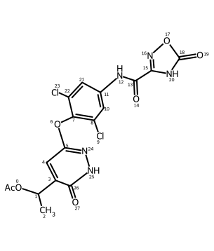 CC(=O)OC(C)c1cc(Oc2c(Cl)cc(NC(=O)c3noc(=O)[nH]3)cc2Cl)n[nH]c1=O